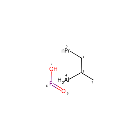 CCCC[CH](C)[AlH2].O=PO